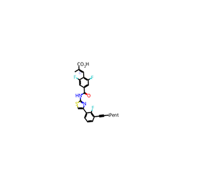 CCCC(C)C#Cc1cccc(-c2csc(NC(=O)c3cc(F)c(/C=C(\C)C(=O)O)c(F)c3)n2)c1F